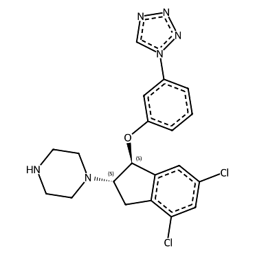 Clc1cc(Cl)c2c(c1)[C@H](Oc1cccc(-n3cnnn3)c1)[C@@H](N1CCNCC1)C2